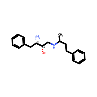 CC(CCc1ccccc1)NC[C@H](O)[C@@H](N)Cc1ccccc1